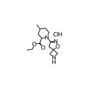 CCOC(=O)C1CC(C)CCN1C1=NOC2(CNC2)C1.Cl